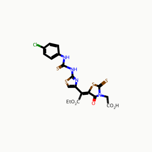 CCOC(=O)C(=C1SC(=S)N(CC(=O)O)C1=O)c1csc(NC(=S)Nc2ccc(Cl)cc2)n1